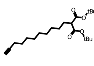 C#CCCCCCCCCCC(C(=O)OC(C)(C)C)C(=O)OC(C)(C)C